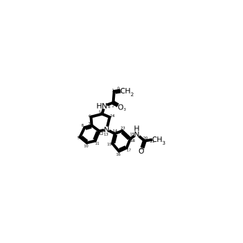 C=CC(=O)NC1Cc2ccccc2N(c2cccc(NC(C)=O)c2)C1